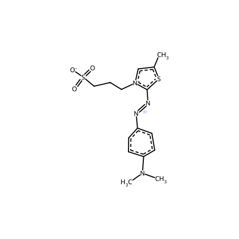 Cc1c[n+](CCCS(=O)(=O)[O-])c(/N=N/c2ccc(N(C)C)cc2)s1